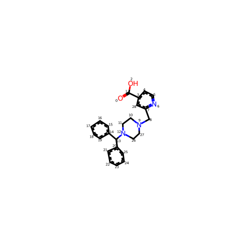 O=C(O)c1ccnc(CN2CCN(C(c3ccccc3)c3ccccc3)CC2)c1